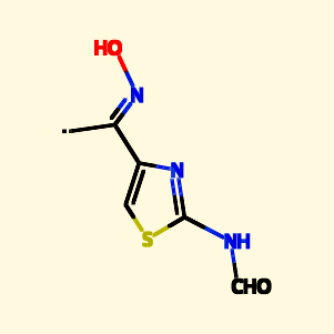 [CH2]/C(=N\O)c1csc(NC=O)n1